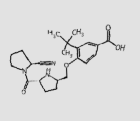 CC(C)(C)c1cc(C(=O)O)ccc1OC[C@H]1CC[C@H](C(=O)N2CCC[C@H]2C#N)N1